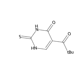 CC(C)(C)C(=O)c1c[nH]c(=S)[nH]c1=O